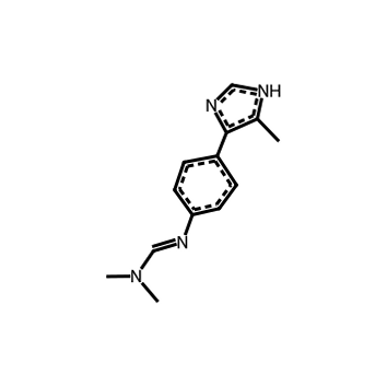 Cc1[nH]cnc1-c1ccc(/N=C/N(C)C)cc1